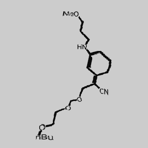 CCCCOCCOCOC/C(C#N)=C1\C=C(NCCCOC)CCC1